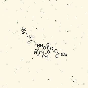 CC(=O)SCCNC(=O)CCNC(=O)[C@@H]1OP(=O)(OCOC(=O)C(C)(C)C)OCC1(C)C